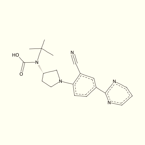 CC(C)(C)N(C(=O)O)[C@H]1CCN(c2ccc(-c3ncccn3)cc2C#N)C1